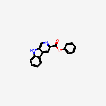 O=C(Oc1ccccc1)c1cc2c(cn1)[nH]c1ccccc12